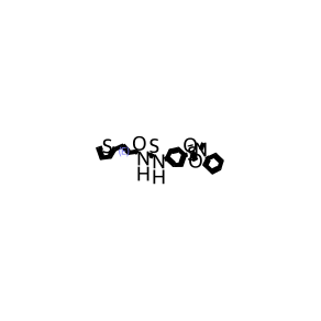 CN(c1ccccc1)S(=O)(=O)c1ccc(NC(=S)NC(=O)/C=C/c2cccs2)cc1